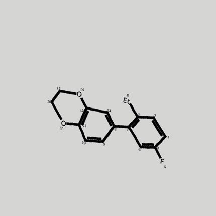 CCc1ccc(F)cc1-c1ccc2c(c1)OCCO2